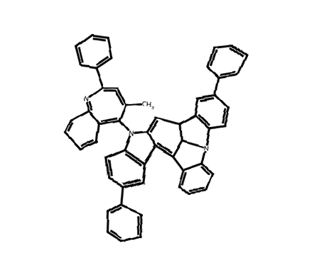 CC1=C=C(c2ccccc2)N=c2ccccc2=C1n1c2c(c3cc(-c4ccccc4)ccc31)=C1c3ccccc3N3c4ccc(-c5ccccc5)cc4C(C=2)C13